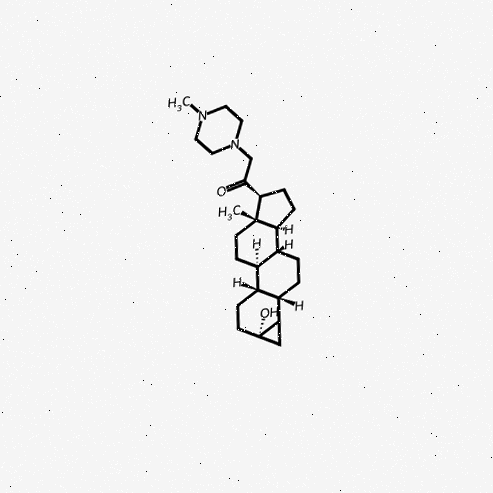 CN1CCN(CC(=O)[C@H]2CC[C@H]3[C@@H]4CC[C@@H]5C6C[C@@]6(O)CC[C@@H]5[C@H]4CC[C@]23C)CC1